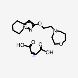 O=C(O)/C=C\C(=O)O.c1c(OCCN2CCCOCC2)nn2c1CCCC2